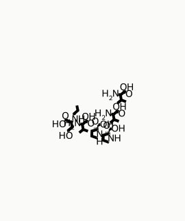 CC(C)C(N)C(=O)O.CC(C)C(N)C(=O)O.CC(C)C(N)C(=O)O.CCCNC(CCO)C(=O)O.O=C(O)[C@@H]1CCCN1.O=C(O)[C@@H]1CCCN1